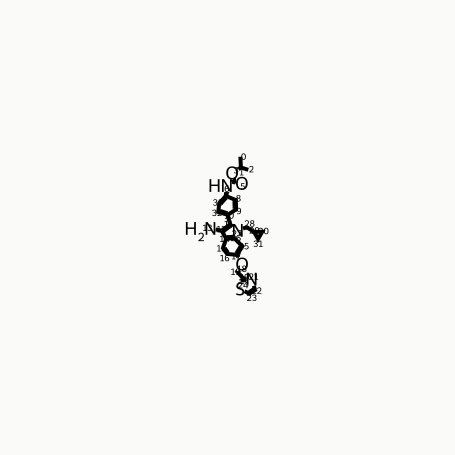 CC(C)OC(=O)Nc1ccc(-c2c(N)c3ccc(OCc4nccs4)cc3n2CC2CC2)cc1